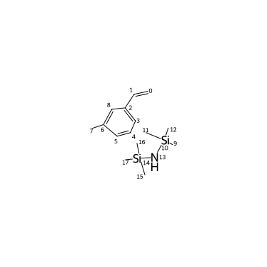 C=Cc1cccc(C)c1.C[Si](C)(C)N[Si](C)(C)C